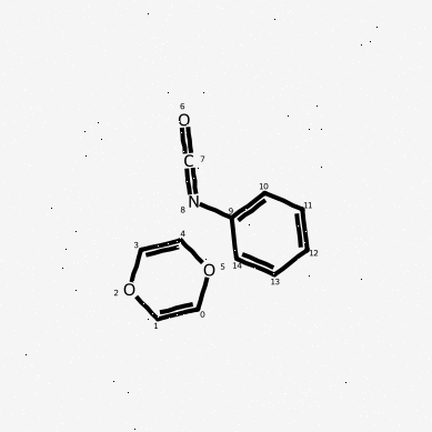 C1=COC=CO1.O=C=Nc1ccccc1